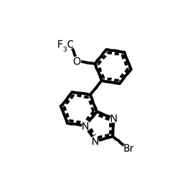 FC(F)(F)Oc1ccccc1-c1cccn2nc(Br)nc12